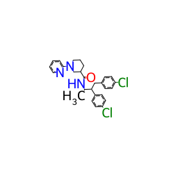 CC(NC(=O)C1CCCN(c2ccccn2)C1)C(Cc1ccc(Cl)cc1)c1ccc(Cl)cc1